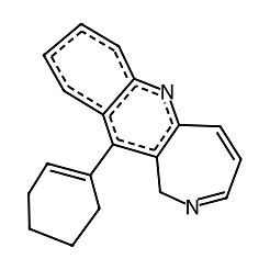 C1=Cc2nc3ccccc3c(C3=CCCCC3)c2CN=C1